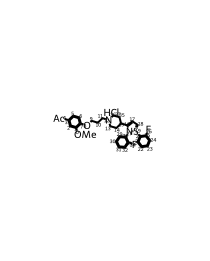 COc1cc(C(C)=O)ccc1OCCCN1CCC(C2=CC=S(c3ccccc3F)N2c2ccccc2F)CC1.Cl